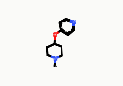 [CH2]N1CCC(Oc2ccncc2)CC1